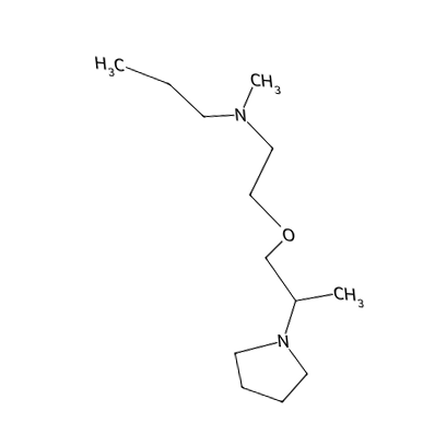 CCCN(C)CCOCC(C)N1CCCC1